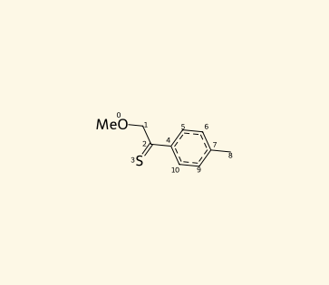 COCC(=S)c1ccc(C)cc1